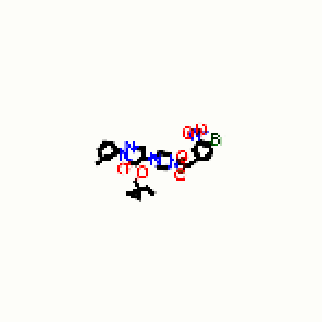 CCC1(COc2c(N3CCN(S(=O)(=O)Cc4ccc(Br)c([N+](=O)[O-])c4)CC3)cnn(-c3cccc(C)c3)c2=O)CC1